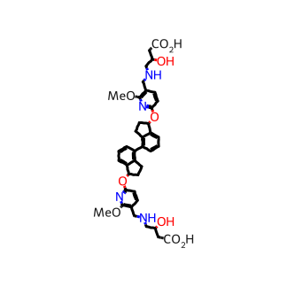 COc1nc(OC2CCc3c(-c4cccc5c4CCC5Oc4ccc(CNCC(O)CC(=O)O)c(OC)n4)cccc32)ccc1CNCC(O)CC(=O)O